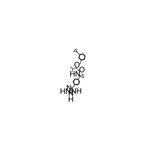 CC(C)[C@@H](OCc1cccc(C2CC2)c1)C(=O)NC1(c2ccc(C3=NNNN3)cc2)CC1